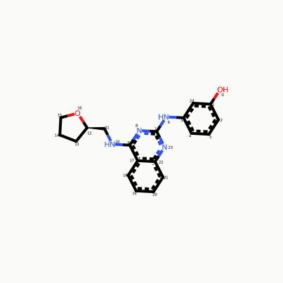 Oc1cccc(Nc2nc(NC[C@H]3CCCO3)c3ccccc3n2)c1